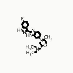 CCN(CC)C[C@H]1CN(c2ccc3nc(-c4n[nH]c5cc(F)ccc45)[nH]c3c2)[C@@H](C)CO1